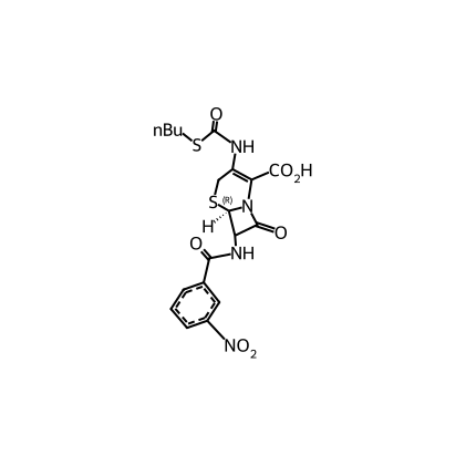 CCCCSC(=O)NC1=C(C(=O)O)N2C(=O)C(NC(=O)c3cccc([N+](=O)[O-])c3)[C@H]2SC1